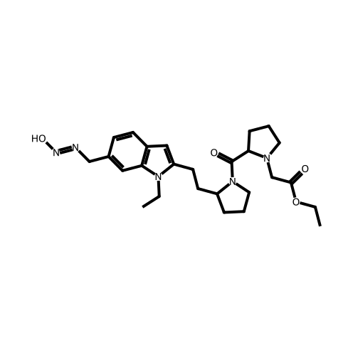 CCOC(=O)CN1CCCC1C(=O)N1CCCC1CCc1cc2ccc(CN=NO)cc2n1CC